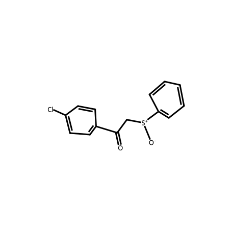 O=C(C[S+]([O-])c1ccccc1)c1ccc(Cl)cc1